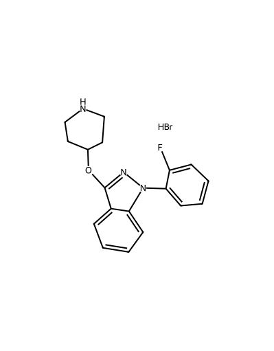 Br.Fc1ccccc1-n1nc(OC2CCNCC2)c2ccccc21